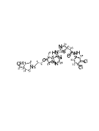 Cc1c(OCCCN2CCC(CO)CC2)cn2ncnc(Nc3ncc(CC(=O)Nc4ccc(Cl)c(Cl)c4)s3)c12